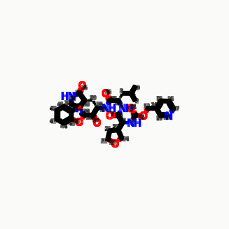 CC(C)C[C@H](NC(=O)[C@@H](NC(=O)OCc1cccnc1)C1CCOC1)C(=O)N[C@@H](C[C@@H]1CCNC1=O)C(=O)c1nc2ccccc2o1